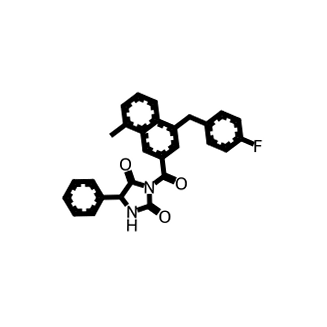 Cc1cccc2c(Cc3ccc(F)cc3)cc(C(=O)N3C(=O)NC(c4ccccc4)C3=O)cc12